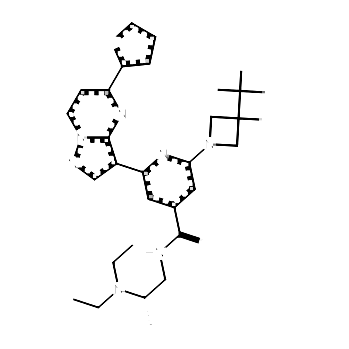 CCN(CC)[C@@H](C)CNC(=O)c1cc(-c2cnn3ccc(-c4cccs4)nc23)nc(N2CC(O)(C(F)(F)F)C2)c1